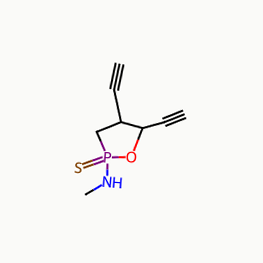 C#CC1CP(=S)(NC)OC1C#C